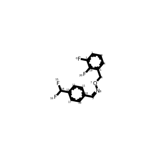 Fc1cccc(CO/N=[C]\c2ccc(C(F)F)cc2)c1F